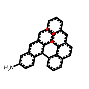 Nc1ccc2c(-c3cccc4ccc5cc6ccccc6cc5c34)c3ccccc3cc2c1